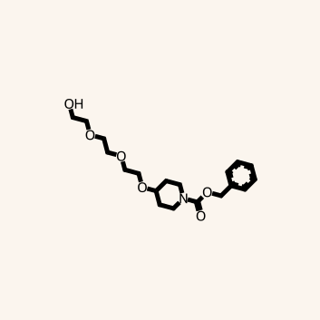 O=C(OCc1ccccc1)N1CCC(OCCOCCOCCO)CC1